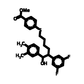 COC(=O)c1ccc(SCCCCC(c2cc(F)cc(F)c2)C(O)c2ccc(C)c(C)c2)cc1